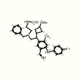 COC1CC(C(CN(CCNC=O)Cc2ccccc2)c2cc(C=N)c(Nc3ccc(F)cc3)cc2C)C1